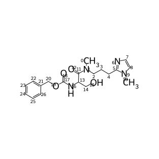 CN(CCCc1nccn1C)C(=O)C(CO)NC(=O)OCc1ccccc1